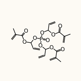 C=CC(OC(=O)C(=C)C)OP(=O)(OC(C=C)OC(=O)C(=C)C)OC(C=C)OC(=O)C(=C)C